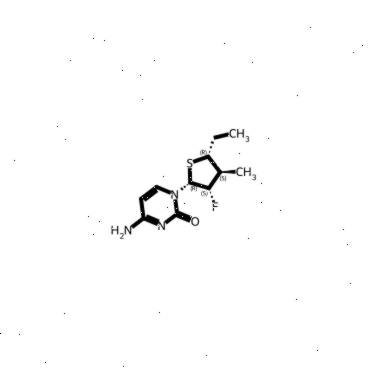 CC[C@H]1S[C@@H](n2ccc(N)nc2=O)[C@@H](F)[C@@H]1C